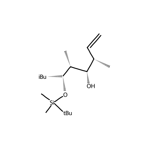 C=C[C@H](C)[C@H](O)[C@@H](C)[C@H](O[Si](C)(C)C(C)(C)C)[C@@H](C)CC